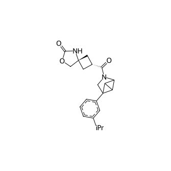 CC(C)c1cccc(C23CN(C(=O)[C@H]4C[C@]5(COC(=O)N5)C4)C4C2C43)c1